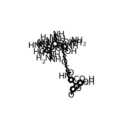 N=C(N)NCC1OC(OC2C(NC(=N)N)CC(NC(=N)N)C(OC3OC(CSCCOCCSCC(=O)Nc4ccc(-c5c6ccc(=O)cc-6oc6cc(O)ccc56)c(C(=O)O)c4)C(O)C(NCNN)C3O)C2O)C(NC(=N)N)CC1O